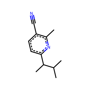 Cc1nc(C(C)C(C)C)ccc1C#N